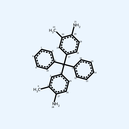 Cc1cc(C(c2ccccc2)(c2ccccc2)c2ccc(N)c(C)c2)ccc1N